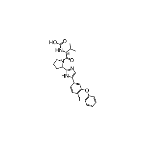 CC(C)[C@H](NC(=O)O)C(=O)N1CCCC1c1ncc(-c2ccc(I)c(Oc3ccccc3)c2)[nH]1